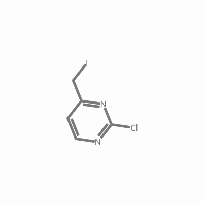 Clc1nccc(CI)n1